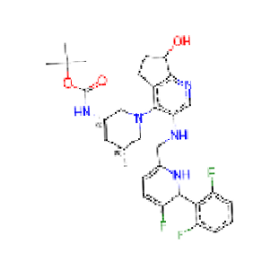 C[C@@H]1C[C@H](NC(=O)OC(C)(C)C)CN(c2c(NCC3=CC=C(F)C(c4c(F)cccc4F)N3)cnc3c2CCC3O)C1